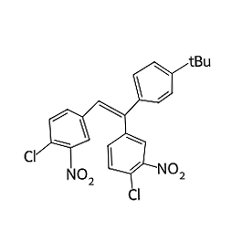 CC(C)(C)c1ccc(C(=Cc2ccc(Cl)c([N+](=O)[O-])c2)c2ccc(Cl)c([N+](=O)[O-])c2)cc1